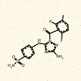 Cc1ccc(F)c(C(=O)n2nc(N)nc2Nc2ccc(S(N)(=O)=O)cc2)c1F